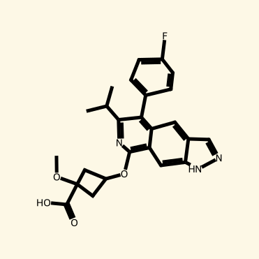 COC1(C(=O)O)CC(Oc2nc(C(C)C)c(-c3ccc(F)cc3)c3cc4cn[nH]c4cc23)C1